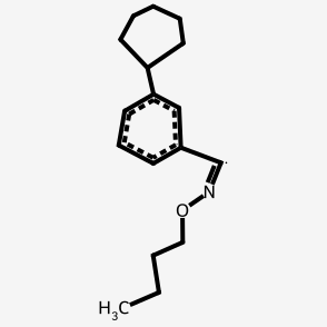 CCCCO/N=[C]\c1cccc(C2CCCCC2)c1